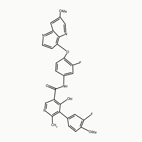 COc1cnc2c(Oc3ccc(NC(=O)c4cnc(C)c(-c5ccc(OC)c(F)c5)c4O)cc3F)ccnc2c1